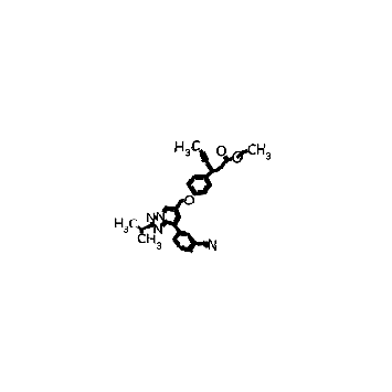 CC#CC(CC(=O)OCC)c1ccc(OCc2cc(-c3cccc(C#N)c3)c3nc(C(C)C)nn3c2)cc1